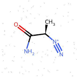 C[C@@H]([N+]#N)C(N)=O